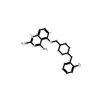 Nc1nc(N)c2c(OCC3CCC(Cc4ccccc4Cl)CC3)cccc2n1